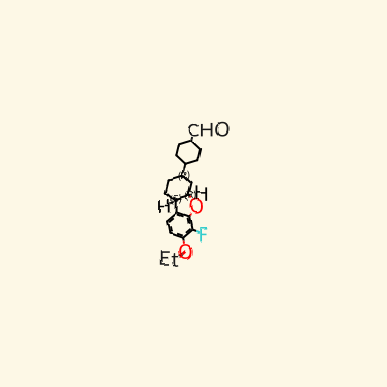 CCOc1ccc2c(c1F)O[C@@H]1C[C@H](C3CCC(C=O)CC3)CC[C@@H]21